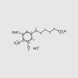 Cl.O=Cc1cc(OCCCCC(=O)O)cc(Cl)c1[N+](=O)[O-]